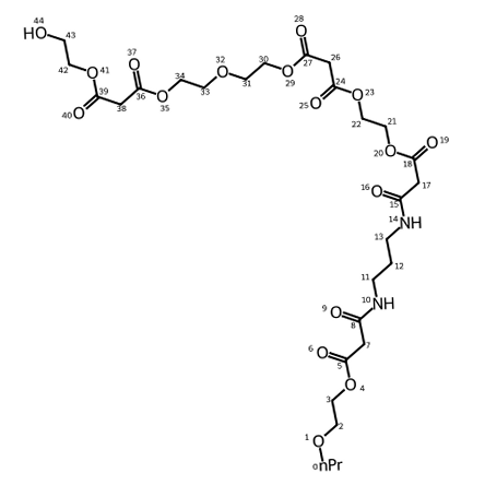 CCCOCCOC(=O)CC(=O)NCCCNC(=O)CC(=O)OCCOC(=O)CC(=O)OCCOCCOC(=O)CC(=O)OCCO